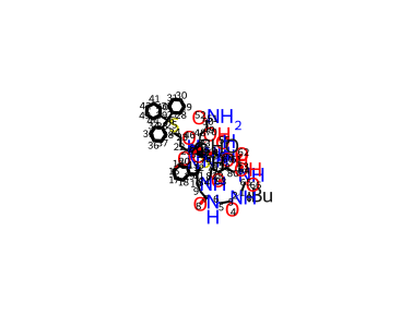 CC[C@H](C)[C@@H]1NC(=O)CNC(=O)C2Cc3c4[nH]c5cc(ccc35)OC(CCCSC(c3ccccc3)(c3ccccc3)c3ccccc3)(C(=O)[C@H](CCC(N)=O)NC(=O)C(C[S+]4[O-])NC(=O)CNC1=O)N1C[C@H](O)C[C@]1(C=O)N[C@@H]([C@@H](C)[C@@H](O)CO)C(=O)N2